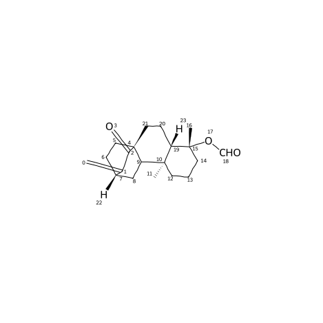 C=C1C(=O)[C@]23CC[C@H]1CC2[C@]1(C)CCC[C@@](C)(OC=O)[C@H]1CC3